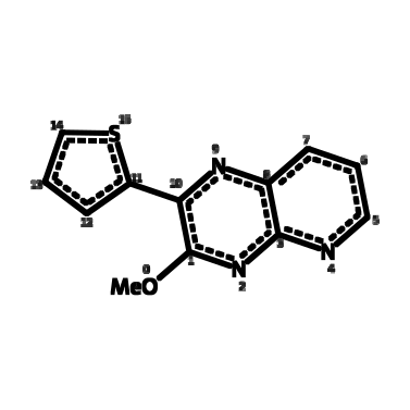 COc1nc2ncccc2nc1-c1cccs1